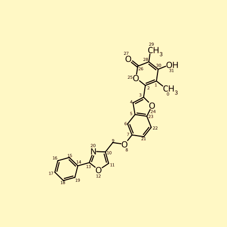 Cc1c(-c2cc3cc(OCc4coc(-c5ccccc5)n4)ccc3o2)oc(=O)c(C)c1O